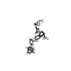 CC(C)c1ccc(N2CC(CS(C)(=O)=O)C2)c2cnc(Nc3ccnc(N4C[C@H]5CC[C@@H](C4)C5O)n3)cc12